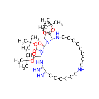 CC(C)(C)OC(=O)C1NCCCCCCCCNCCCCCCC(=N)C(=N)NC(C(=O)OC(C)(C)C)N(C(=O)OC(C)(C)C)C(=O)N1Cc1ccccc1